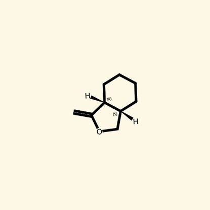 C=C1OC[C@H]2CCCC[C@@H]12